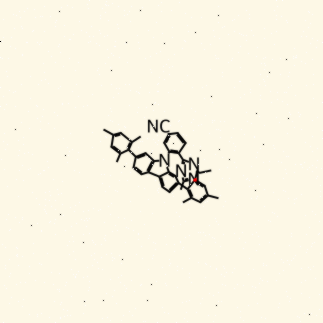 Cc1cc(C)c(-c2ccc3c4ccc(-c5c(C)cc(C)cc5C)cc4n(-c4cc(C#N)ccc4-c4nc(C)nc(C)n4)c3c2)c(C)c1